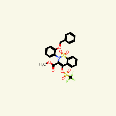 COC(=O)C1=C(OS(=O)(=O)C(F)(F)F)c2ccccc2S(=O)(=O)N1c1ccccc1OCc1ccccc1